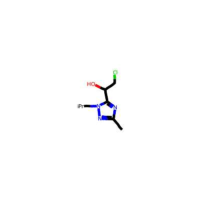 Cc1nc(C(O)CCl)n(C(C)C)n1